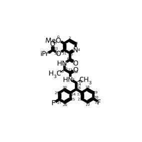 COc1ccnc(C(=O)N[C@@H](C)C(=O)N[C@H](C)C(c2ccc(F)cc2)c2ccc(F)cc2)c1OC(=O)C(C)C